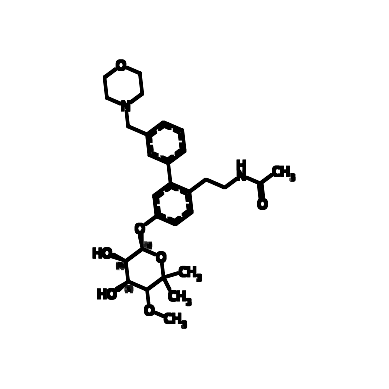 COC1[C@@H](O)[C@@H](O)[C@@H](Oc2ccc(CCNC(C)=O)c(-c3cccc(CN4CCOCC4)c3)c2)OC1(C)C